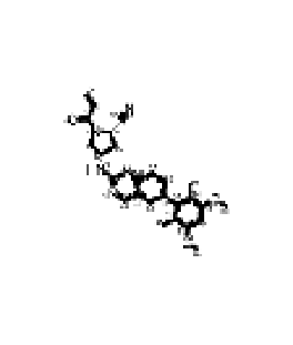 C=CC(=O)N1C[C@@H](Nc2ncc3cc(-c4c(C)c(OC)cc(OC)c4C)ccc3n2)C[C@H]1C#N